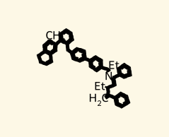 C=C(c1ccccc1)[C@H](/C=C(\N=C(/CC)c1ccc(-c2ccc(Cc3ccccc3-c3cc4c(cc3C)CCC=C4)cc2)cc1)c1ccccc1)CC